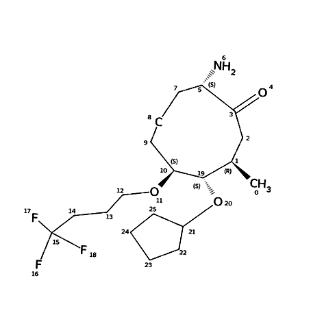 C[C@@H]1CC(=O)[C@@H](N)CCC[C@H](OCCCC(F)(F)F)[C@H]1OC1CCCC1